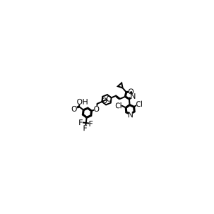 O=C(O)c1cc(OCC23CCC(C=Cc4c(-c5c(Cl)cncc5Cl)noc4C4CC4)(CC2)CO3)cc(C(F)(F)F)c1